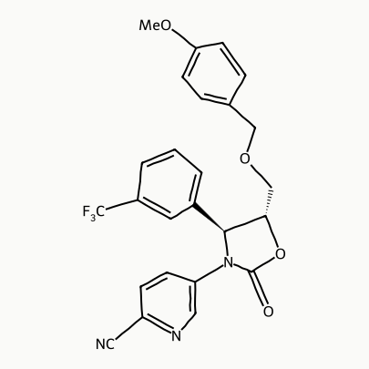 COc1ccc(COC[C@@H]2OC(=O)N(c3ccc(C#N)nc3)[C@H]2c2cccc(C(F)(F)F)c2)cc1